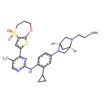 COCCN1C[C@H]2C[C@@H]1CN2c1ccc(Nc2ncc(C(F)(F)F)c(-c3cc4c(s3)OCCCS4(=O)=O)n2)c(C2CC2)c1